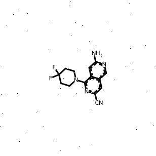 N#Cc1cc2cnc(N)cc2c(N2CCC(F)(F)CC2)n1